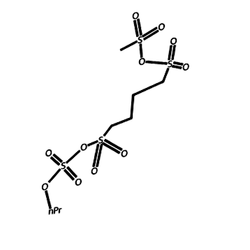 CCCOS(=O)(=O)OS(=O)(=O)CCCCS(=O)(=O)OS(C)(=O)=O